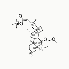 CC[C@H]1[C@@H](OCOC)C2C3CC[C@H]([C@H](C)CC=C(OC)O[Si](C)(C)C)[C@@]3(C)[C@@H](C)CC2[C@@]2(C)CC[C@@H](C)C[C@@H]12